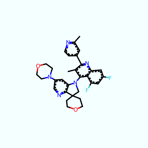 Cc1cc(-c2nc3cc(F)cc(F)c3c(N3CC4(CCOCC4)c4ncc(N5CCOCC5)cc43)c2C)ccn1